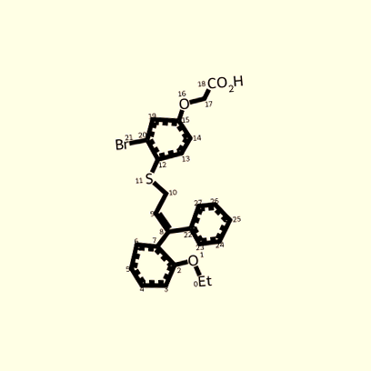 CCOc1ccccc1C(=CCSc1ccc(OCC(=O)O)cc1Br)c1ccccc1